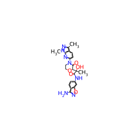 Cc1nn(C)c2nc(N3CCOC(C(C)(O)C(=O)Nc4ccc5c(N)noc5c4)C3=O)ccc12